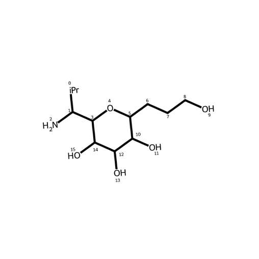 CC(C)C(N)C1OC(CCCO)C(O)C(O)C1O